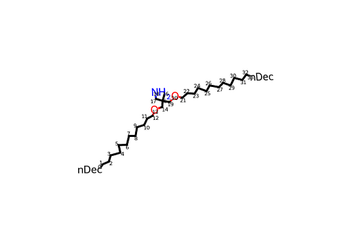 CCCCCCCCCCCCCCCCCCCCCCOCC(C)(CN)COCCCCCCCCCCCCCCCCCCCCCC